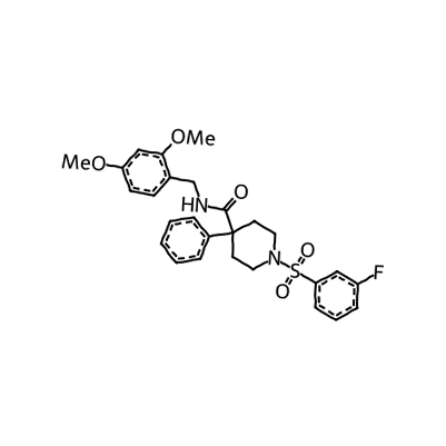 COc1ccc(CNC(=O)C2(c3ccccc3)CCN(S(=O)(=O)c3cccc(F)c3)CC2)c(OC)c1